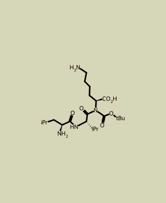 CC(C)C[C@H](N)C(=O)N[C@H](C(=O)N(C(=O)OC(C)(C)C)[C@@H](CCCCN)C(=O)O)C(C)C